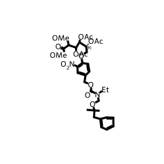 CCN(COC(C)(C)Cc1ccccc1)C(=O)OCc1ccc(OC[C@@H](OC(C)=O)C(OC(C)=O)C(OC(C)=O)C(OC)C(=O)OC)c([N+](=O)[O-])c1